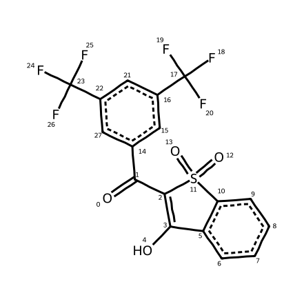 O=C(C1=C(O)c2ccccc2S1(=O)=O)c1cc(C(F)(F)F)cc(C(F)(F)F)c1